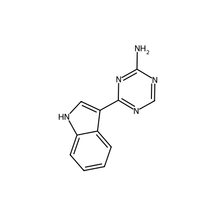 Nc1ncnc(-c2c[nH]c3ccccc23)n1